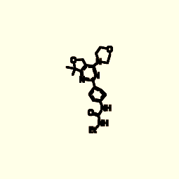 CCNC(=O)Nc1ccc(-c2nc(N3CCOCC3)c3c(n2)C(C)(C)OC3)cc1